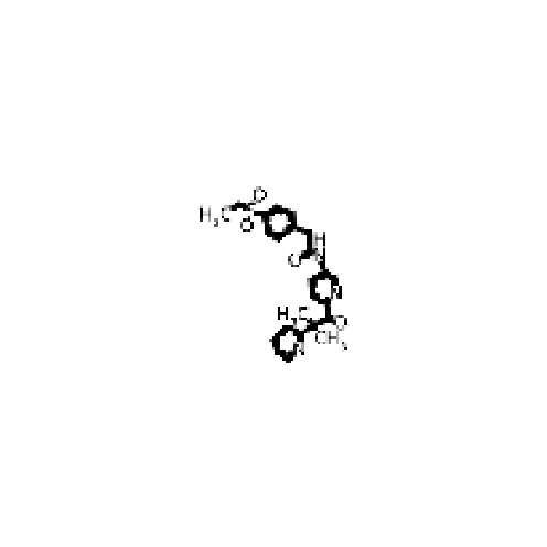 CCS(=O)(=O)c1ccc(CC(=O)Nc2ccc(C(=O)C(C)(C)c3ccccn3)nc2)cc1